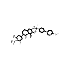 CCCc1ccc(-c2ccc(C(F)(F)Oc3cc4ccc(-c5cc(F)c(C(F)(F)F)c(F)c5)c(F)c4c(F)c3F)cc2)cc1